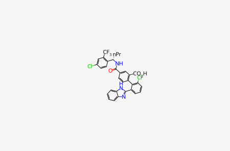 CCC[C@H](NC(=O)c1ccc(-c2c(Cl)cccc2-c2nc3ccccc3[nH]2)c(C(=O)O)c1)c1ccc(Cl)cc1C(F)(F)F